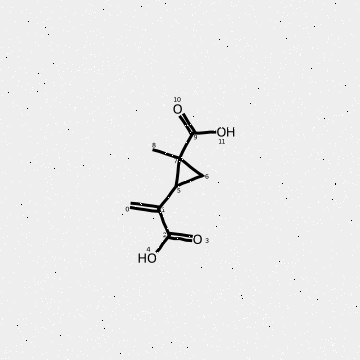 C=C(C(=O)O)C1CC1(C)C(=O)O